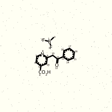 CB(F)F.O=C(O)c1ccnc(CC(=O)c2ccccc2)c1